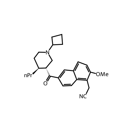 CCC[C@H]1CCN(C2CCC2)C[C@@H]1C(=O)c1ccc2c(CC#N)c(OC)ccc2c1